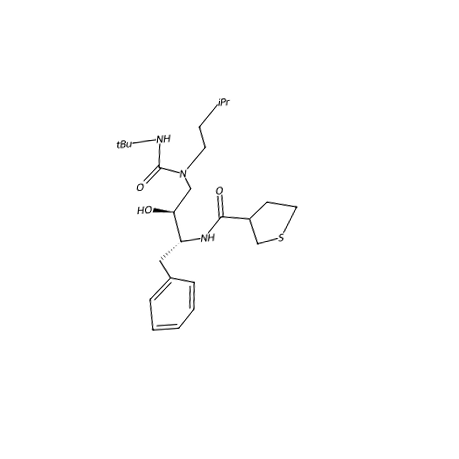 CC(C)CCN(C[C@H](O)[C@@H](Cc1ccccc1)NC(=O)C1CCSC1)C(=O)NC(C)(C)C